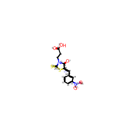 O=C(O)CCN1C(=O)/C(=C/c2cccc([N+](=O)[O-])c2)SC1=S